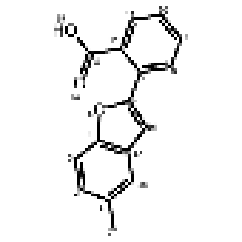 Cc1ccc2oc(-c3ccccc3C(=O)O)cc2c1